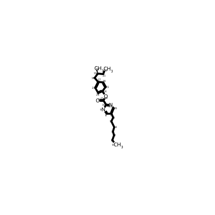 CCCCCCCc1cnc(C(=O)Oc2ccc(C[C@@H](C)CC)cc2)nc1